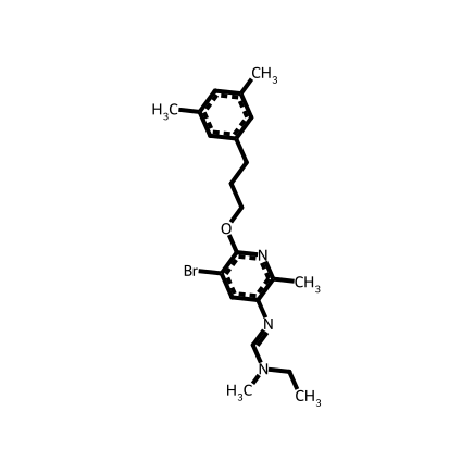 CCN(C)/C=N/c1cc(Br)c(OCCCc2cc(C)cc(C)c2)nc1C